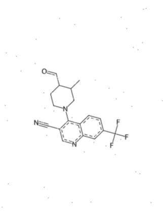 CC1CN(c2c(C#N)cnc3cc(C(F)(F)F)ccc23)CCC1C=O